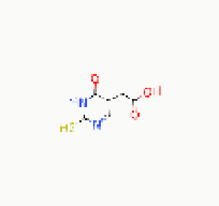 O=C(O)CC1C=NC(S)NC1=O